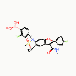 CNC(=O)c1c(-c2ccc(F)cc2)oc2cc(N(Cc3ccc(B(O)O)c(F)c3)S(C)(=O)=O)c(C3CC3)cc12